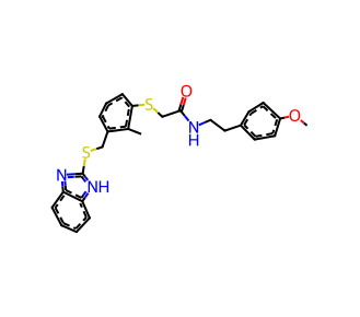 COc1ccc(CCNC(=O)CSc2cccc(CSc3nc4ccccc4[nH]3)c2C)cc1